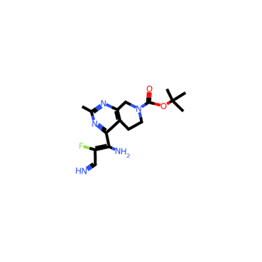 Cc1nc2c(c(/C(N)=C(\F)C=N)n1)CCN(C(=O)OC(C)(C)C)C2